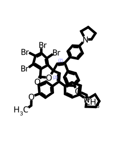 CCOc1ccc(/C(=C\C2(/C=C(\c3ccc(OCC)cc3)c3ccc(N4CCCC4)cc3)OC(=O)c3c(Br)c(Br)c(Br)c(Br)c32)c2ccc(N3CCCC3)cc2)cc1